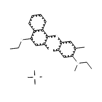 CCNc1cc2[o+]c3cc(N(C)CC)c(C)cc3nc2c2ccccc12.[O-][Cl+3]([O-])([O-])[O-]